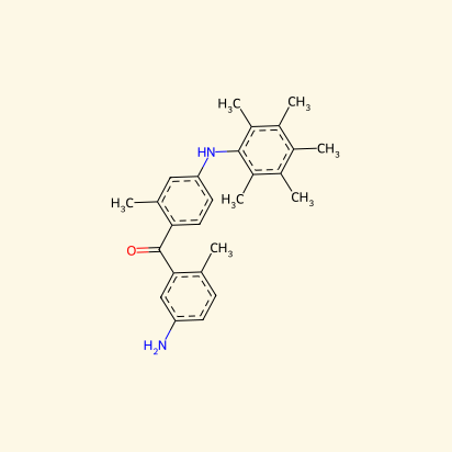 Cc1cc(Nc2c(C)c(C)c(C)c(C)c2C)ccc1C(=O)c1cc(N)ccc1C